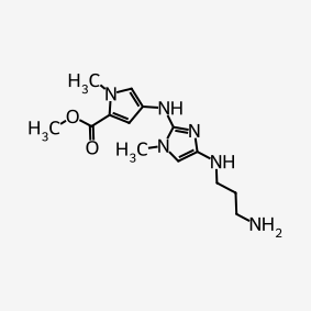 COC(=O)c1cc(Nc2nc(NCCCN)cn2C)cn1C